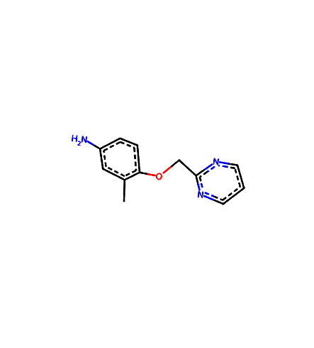 Cc1cc(N)ccc1OCc1ncccn1